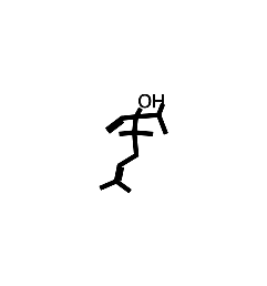 C=CC(O)(C(C)C)C(C)(C)CC=C(C)C